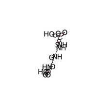 CCOP(=O)(O)OCCNC(=O)CCCCC(=O)NCCCCCNC(=S)Nc1ccc(-c2c3ccc(=O)cc-3oc3cc(O)ccc23)c(C)c1